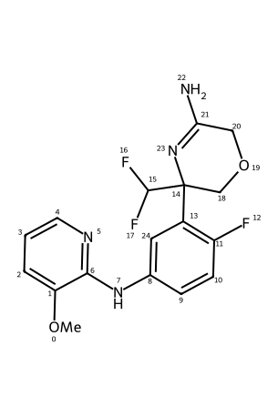 COc1cccnc1Nc1ccc(F)c(C2(C(F)F)COCC(N)=N2)c1